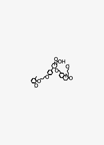 COCCCN1C(=O)CCc2ccc(COC3CN(C(=O)O)CCC3c3ccc(OCCCOc4c(C)cccc4OC)cc3)cc21